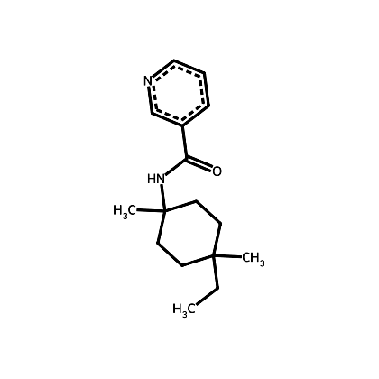 CCC1(C)CCC(C)(NC(=O)c2cccnc2)CC1